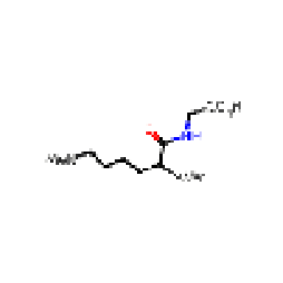 CNCCCCC(NC)C(=O)NCC(=O)O